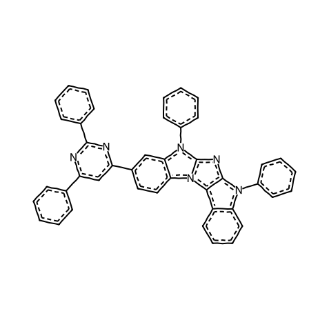 c1ccc(-c2cc(-c3ccc4c(c3)n(-c3ccccc3)c3nc5c(c6ccccc6n5-c5ccccc5)n43)nc(-c3ccccc3)n2)cc1